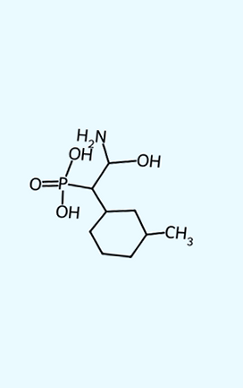 CC1CCCC(C(C(N)O)P(=O)(O)O)C1